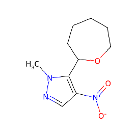 Cn1ncc([N+](=O)[O-])c1C1CCCCCO1